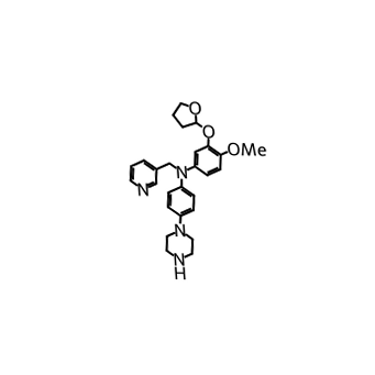 COc1ccc(N(Cc2cccnc2)c2ccc(N3CCNCC3)cc2)cc1OC1CCCO1